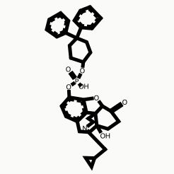 O=C1CCC2(O)C3Cc4ccc(OP(=O)(O)OC5CCC(c6ccccc6)(c6ccccc6)CC5)c5c4C2(CCN3CC2CC2)C1O5